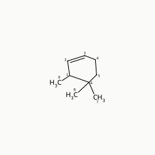 CC1C=CCCC1(C)C